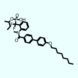 CCCCCCCCOc1ccc(-c2ccc(C(=O)N(C)c3ccccc3C(F)(F)P(=O)(O)OC(C)CC)cc2)cc1